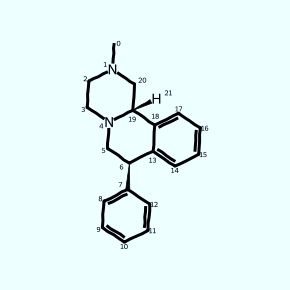 CN1CCN2C[C@H](c3ccccc3)c3ccccc3[C@H]2C1